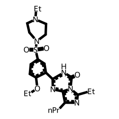 CCCc1nc(CC)n2c(=O)[nH]c(-c3cc(S(=O)(=O)N4CCN(CC)CC4)ccc3OCC)nc12